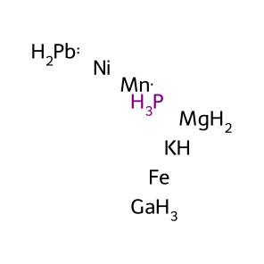 P.[Fe].[GaH3].[KH].[MgH2].[Mn].[Ni].[PbH2]